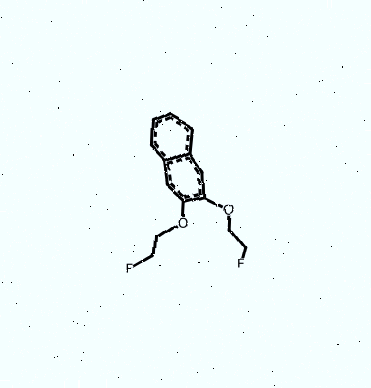 FCCOc1cc2ccccc2cc1OCCF